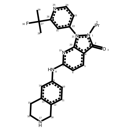 CC(C)n1c(=O)c2ccc(Nc3ccc4c(c3)CCNC4)nc2n1-c1ccnc(C(C)(C)F)c1